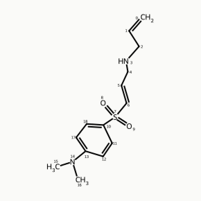 C=CCNCC=CS(=O)(=O)c1ccc(N(C)C)cc1